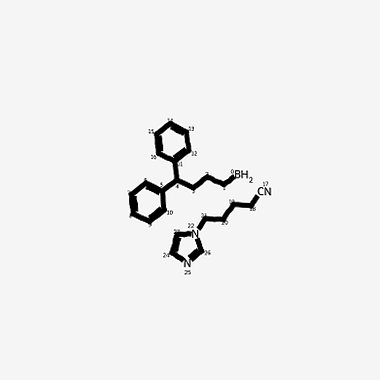 BCCCC(c1ccccc1)c1ccccc1.N#CCCCCn1ccnc1